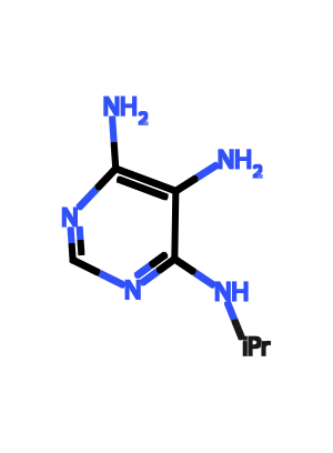 CC(C)Nc1ncnc(N)c1N